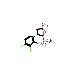 CCOC(=O)[C@H]1O[C@@H](C(F)(F)F)C[C@H]1c1ccc(F)c(F)c1OC